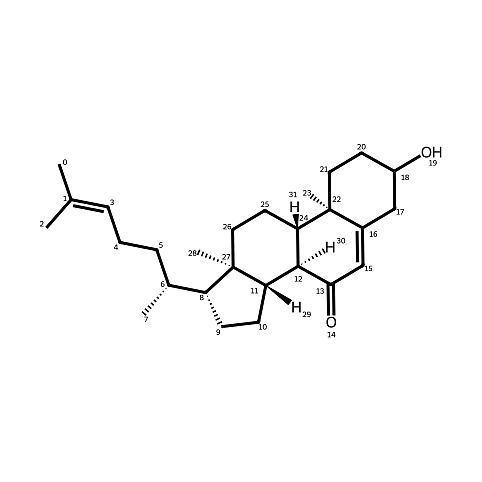 CC(C)=CCC[C@@H](C)[C@H]1CC[C@H]2[C@@H]3C(=O)C=C4CC(O)CC[C@]4(C)[C@H]3CC[C@]12C